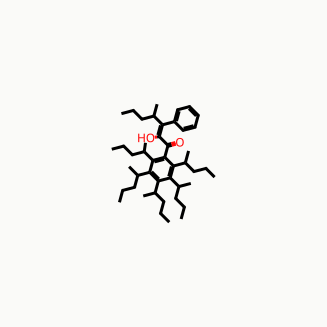 CCCC(C)C(=C(O)C(=O)c1c(C(C)CCC)c(C(C)CCC)c(C(C)CCC)c(C(C)CCC)c1C(C)CCC)c1ccccc1